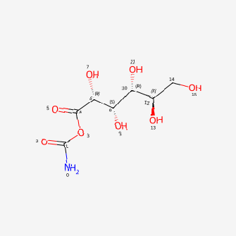 NC(=O)OC(=O)[C@H](O)[C@@H](O)[C@H](O)[C@H](O)CO